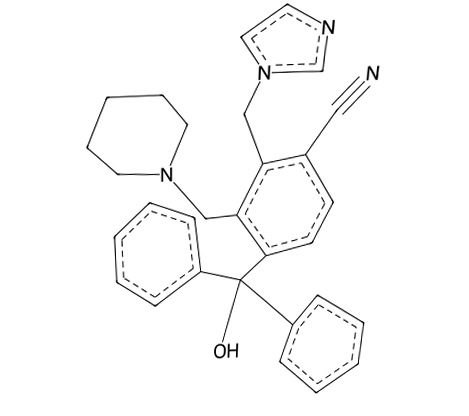 N#Cc1ccc(C(O)(c2ccccc2)c2ccccc2)c(CN2CCCCC2)c1Cn1ccnc1